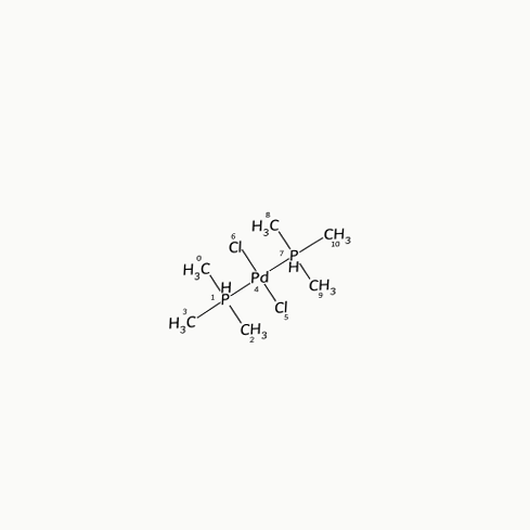 C[PH](C)(C)[Pd]([Cl])([Cl])[PH](C)(C)C